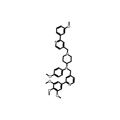 COc1ccc(N(Cc2ccnc(-c3cc(OC)c(OC)c(OC)c3)c2)C2CCN(Cc3ccnc(-c4cccc(OC)c4)c3)CC2)cc1